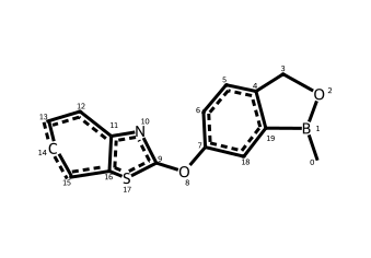 CB1OCc2ccc(Oc3nc4ccccc4s3)cc21